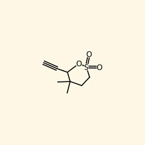 C#CC1OS(=O)(=O)CCC1(C)C